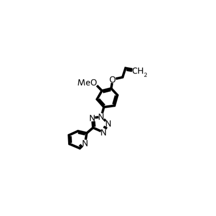 C=CCOc1ccc(-n2nnc(-c3ccccn3)n2)cc1OC